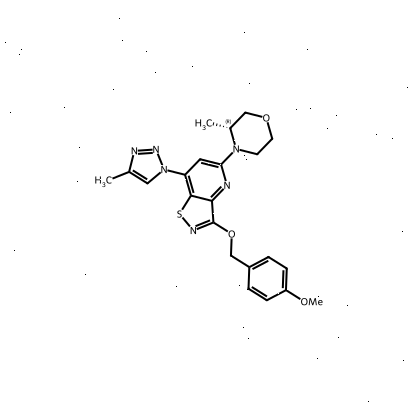 COc1ccc(COc2nsc3c(-n4cc(C)nn4)cc(N4CCOC[C@H]4C)nc23)cc1